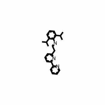 CC(C)c1cccc(C(C)C)c1N=CCc1cccc(-c2ccccn2)n1